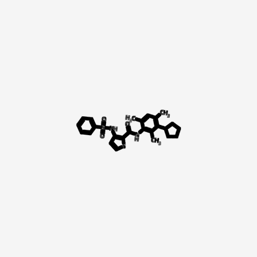 Cc1cc(C)c(C2CCCC2)c(C)c1NC(=O)c1sccc1NS(=O)(=O)c1ccccc1